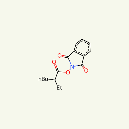 CCCCC(CC)C(=O)ON1C(=O)c2ccccc2C1=O